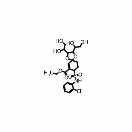 CCOC(=O)C1=CC2(CCC1S(=O)(=O)Nc1ccccc1Cl)OC(C(O)CO)C(C(O)CO)O2